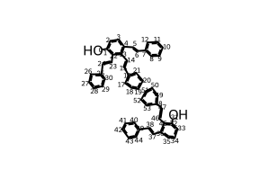 Oc1ccc(C=Cc2ccccc2)c(C=Cc2ccccc2)c1C=Cc1ccccc1.Oc1cccc(C=Cc2ccccc2)c1C=Cc1ccccc1